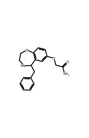 NC(=O)COc1ccc2c(c1)C(Cc1ccccc1)NCCO2